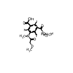 COCC(=O)N(C)c1c(I)c(C(=O)O)c(I)c(C(=O)O)c1I.Cl.Cl